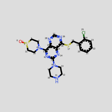 [O-][S+]1CCN(c2nc(N3CCNCC3)nc3c(SCc4ccccc4Cl)ncnc23)CC1